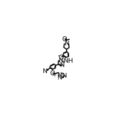 COc1cc(C2CCN(C(C)=O)CC2)ccc1Nc1ncc(-c2ccc(C#N)c(O[C@@H](C)Cn3cncn3)c2)cn1